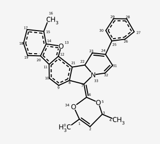 CC1=CC(C)O/C(=C2/c3ccc4c(oc5c(C)cccc54)c3C3C=C(c4ccccc4)C=CN23)O1